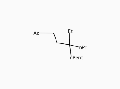 CCCCCC(CC)(CCC)CCC(C)=O